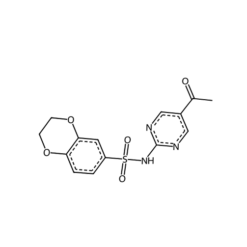 CC(=O)c1cnc(NS(=O)(=O)c2ccc3c(c2)OCCO3)nc1